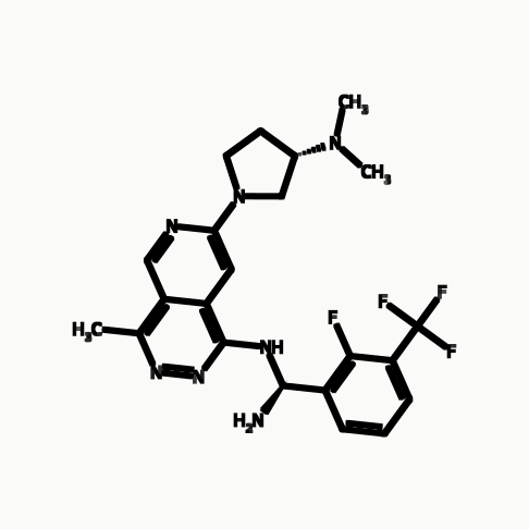 Cc1nnc(N[C@H](N)c2cccc(C(F)(F)F)c2F)c2cc(N3CC[C@H](N(C)C)C3)ncc12